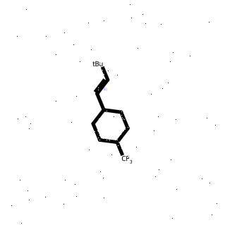 CC(C)(C)/C=C/C1CCC(C(F)(F)F)CC1